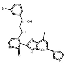 Cc1cc(-n2ccnc2)cc2[nH]c(-c3c(NC[C@@H](O)c4cccc(Br)c4)cc[nH]c3=O)nc12